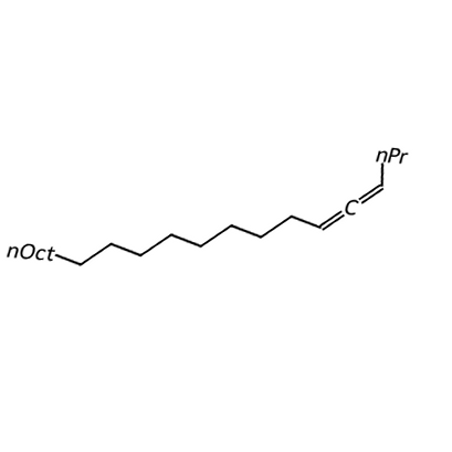 CCCC=C=CCCCCCCCCCCCCCCCC